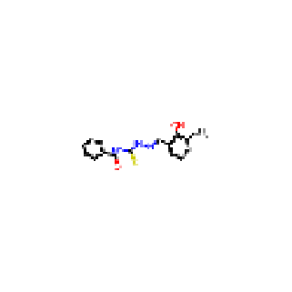 Cc1cccc(/C=N/NC(=S)NC(=O)c2ccccc2)c1O